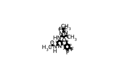 CC(=O)Nc1cc(Nc2cc(C)nc(C(C)(F)F)n2)c(OCc2ccc(F)c(F)c2)cn1